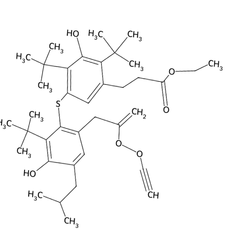 C#COOC(=C)Cc1cc(CC(C)C)c(O)c(C(C)(C)C)c1Sc1cc(CCC(=O)OCC)c(C(C)(C)C)c(O)c1C(C)(C)C